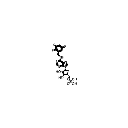 O=P(O)(O)OC[C@H]1O[C@@H](n2cnc3c(NCc4cc(F)cc(F)c4F)ncnc32)[C@H](O)[C@@H]1O